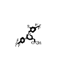 O=C(O)C[C@H]1C[C@H](c2ccc(C(F)(F)F)cc2)CN(Cc2ccc(C(F)(F)F)cc2F)C1